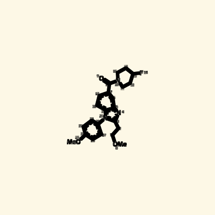 COCCc1nc2cc(C(=O)N3CCC(F)CC3)ccc2n1-c1ccc(OC)cc1